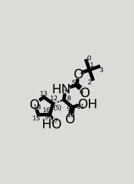 CC(C)(C)OC(=O)NC(C(=O)O)[C@H]1COC[C@@H]1O